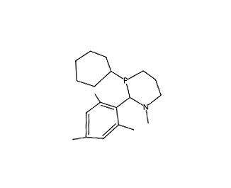 Cc1cc(C)c(C2N(C)CCCP2C2CCCCC2)c(C)c1